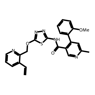 C=Cc1cccnc1COc1nnc(NC(=O)c2cnc(C)cc2-c2ccccc2OC)s1